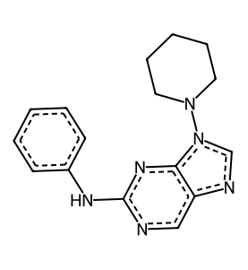 c1ccc(Nc2ncc3ncn(N4CCCCC4)c3n2)cc1